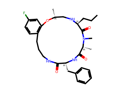 CCC[C@@H]1NC[C@@H](C)Oc2cc(F)ccc2CCCNC(=O)[C@@H](Cc2ccccc2)NC(=O)[C@@H](C)N(C)C1=O